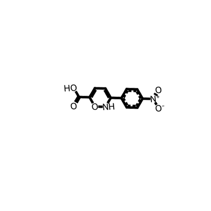 O=C(O)C1=CC=C(c2ccc([N+](=O)[O-])cc2)NO1